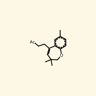 CC(=O)CCC1=CC(C)(C)COc2ccc(C)cc21